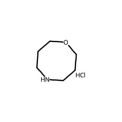 C1CNCCCOC1.Cl